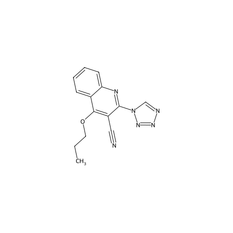 CCCOc1c(C#N)c(-n2cnnn2)nc2ccccc12